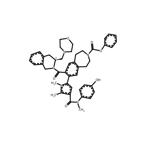 Cc1c(C(=O)N(C)c2ccc(O)cc2)cc(-c2cc3c(cc2C(=O)N2Cc4ccccc4C[C@H]2CN2CCOCC2)CCN(C(=O)Oc2ccccc2)CC3)n1C